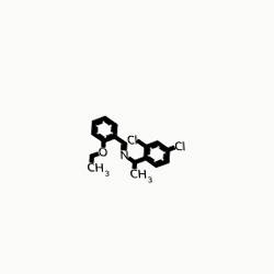 CCOc1ccccc1C=NC(C)c1ccc(Cl)cc1Cl